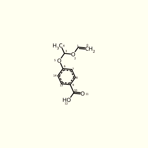 C=COC(C)Oc1ccc(C(=O)O)cc1